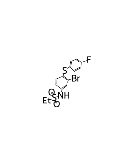 CCS(=O)(=O)Nc1ccc(Sc2ccc(F)cc2)c(Br)c1